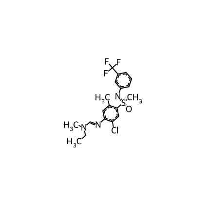 CCN(C)C=Nc1cc(C)c(S(C)(=O)=Nc2cccc(C(F)(F)F)c2)cc1Cl